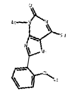 CCOc1ccccc1-c1nc2c([nH]1)c(S)nc(=O)n2CC